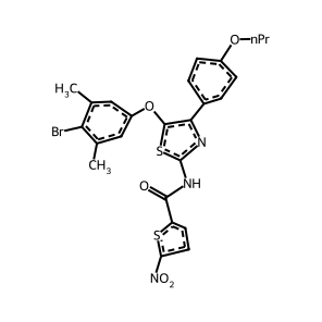 CCCOc1ccc(-c2nc(NC(=O)c3ccc([N+](=O)[O-])s3)sc2Oc2cc(C)c(Br)c(C)c2)cc1